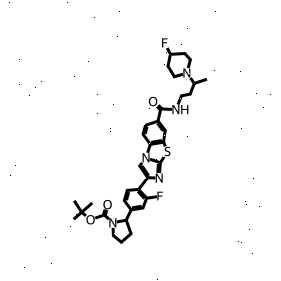 CC(CCNC(=O)c1ccc2c(c1)sc1nc(-c3ccc(C4CCCN4C(=O)OC(C)(C)C)cc3F)cn12)N1CCC(F)CC1